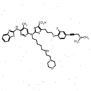 Cc1cc(N(CCCCCNCCN2CCOCC2)c2nc(C(=O)O)c(CCCOc3ccc(C#CCN(C)C)cc3F)s2)nnc1Nc1nc2ccccc2s1